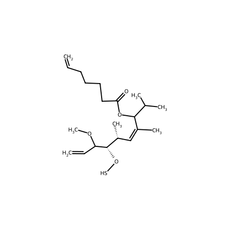 C=CCCCCC(=O)OC(/C(C)=C\[C@@H](C)[C@H](OS)C(C=C)OC)C(C)C